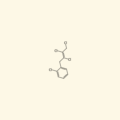 ClCC(Cl)=C(Cl)Cc1ccccc1Cl